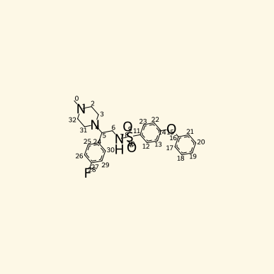 CN1CCN(C(CNS(=O)(=O)c2ccc(Oc3ccccc3)cc2)c2ccc(F)cc2)CC1